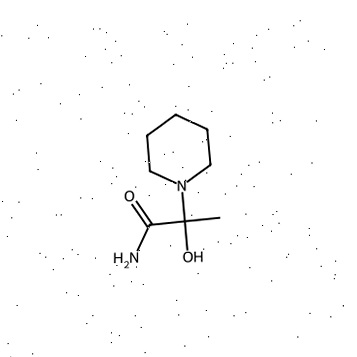 CC(O)(C(N)=O)N1CCCCC1